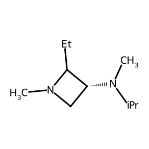 CCC1[C@H](N(C)C(C)C)CN1C